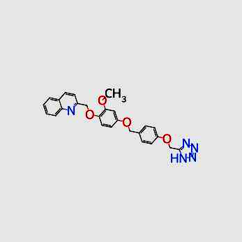 COc1cc(OCc2ccc(OCc3nnn[nH]3)cc2)ccc1OCc1ccc2ccccc2n1